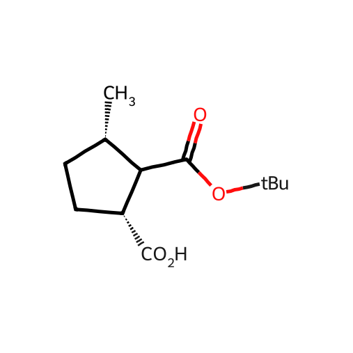 C[C@H]1CC[C@@H](C(=O)O)C1C(=O)OC(C)(C)C